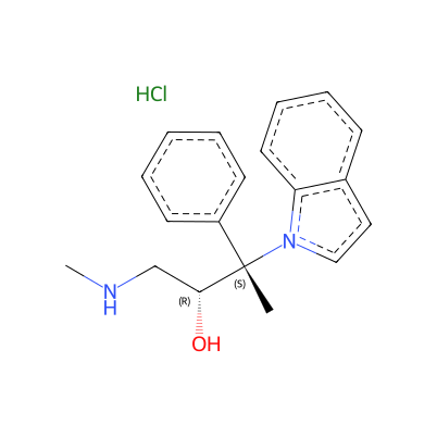 CNC[C@@H](O)[C@](C)(c1ccccc1)n1ccc2ccccc21.Cl